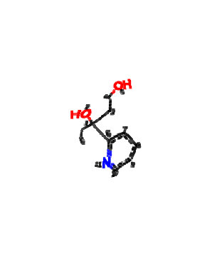 CC(O)(CCO)c1ccccn1